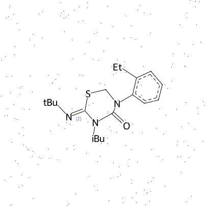 CCc1ccccc1N1CS/C(=N\C(C)(C)C)N(C(C)CC)C1=O